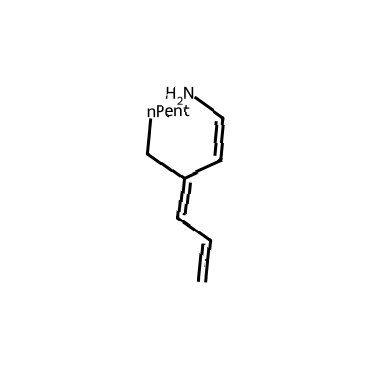 C=C/C=C(\C=C/N)CCCCCC